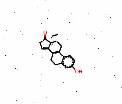 CC[C@]12CCC3=C(CCc4cc(O)ccc43)C1=CCC2=O